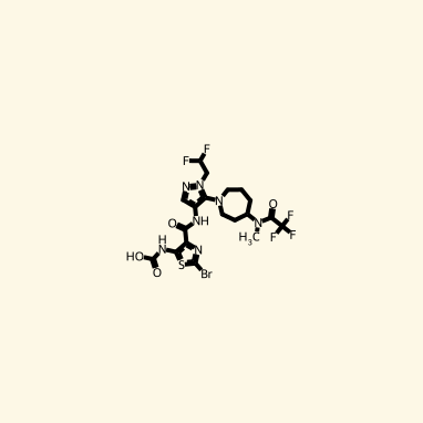 CN(C(=O)C(F)(F)F)C1CCCN(c2c(NC(=O)c3nc(Br)sc3NC(=O)O)cnn2CC(F)F)CC1